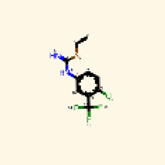 CCSC(=N)Nc1ccc(Cl)c(C(F)(F)F)c1